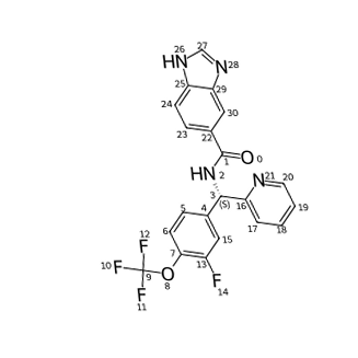 O=C(N[C@@H](c1ccc(OC(F)(F)F)c(F)c1)c1ccccn1)c1ccc2[nH]cnc2c1